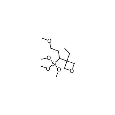 CCC1(C(CCOC)[Si](OC)(OC)OC)COC1